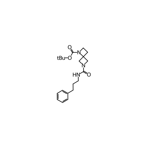 CC(C)(C)OC(=O)N1CCC12CN(C(=O)NCCCc1ccccc1)C2